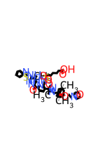 Cc1cc(C(=O)c2ccc(-c3cnn(CC45CC6(OCCN7CCOCC7)C[C@](C)(C4)C[C@](C)(C5)C6)c3C)c(C(=O)NS(=O)(=O)CCCCCC(=O)O)n2)nnc1Nc1nc2ccccc2s1